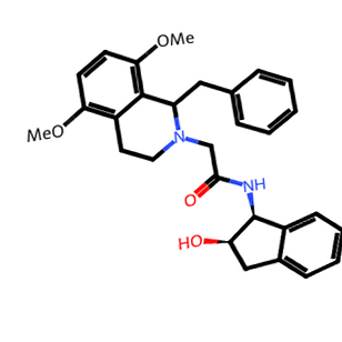 COc1ccc(OC)c2c1CCN(CC(=O)N[C@H]1c3ccccc3C[C@H]1O)C2Cc1ccccc1